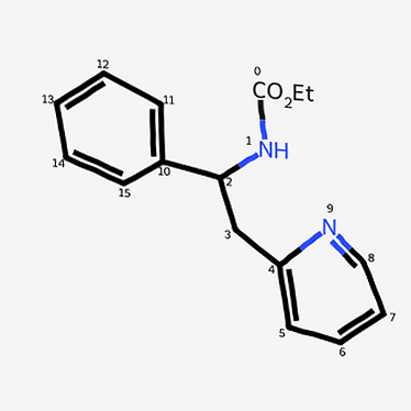 CCOC(=O)NC(Cc1ccccn1)c1ccccc1